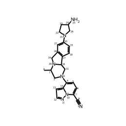 CC1CN(c2ccc(C#N)n3nccc23)CC2c3ccc(N4CCC(N)C4)cc3CN12